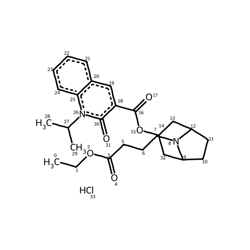 CCOC(=O)CCCN1C2CCC1CC(OC(=O)c1cc3ccccc3n(C(C)C)c1=O)C2.Cl